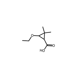 CCOC1C(C(=O)O)C1(C)C